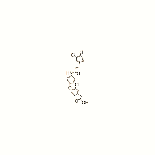 O=C(O)Cc1ccc(Oc2ccc(NC(=O)/C=C/c3ccc(Cl)c(Cl)c3)cc2)c(Cl)c1